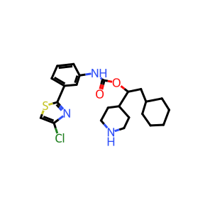 O=C(Nc1cccc(-c2nc(Cl)cs2)c1)OC(CC1CCCCC1)C1CCNCC1